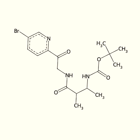 CC(NC(=O)OC(C)(C)C)C(C)C(=O)NCC(=O)c1ccc(Br)cn1